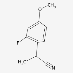 COc1ccc(C(C)C#N)c(F)c1